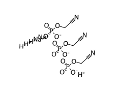 N#CCOP(=O)([O-])[O-].N#CCOP(=O)([O-])[O-].N#CCOP(=O)([O-])[O-].[H+].[H+].[H+].[H+].[Na+].[Na+]